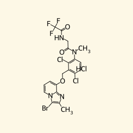 Cc1nc2c(OCc3c(Cl)ccc(N(C)C(=O)CNC(=O)C(F)(F)F)c3Cl)cccn2c1Br.Cl